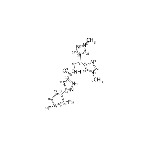 Cn1cnc(C(CNC(=O)c2nnc(-c3ccc(F)cc3F)s2)c2cnn(C)c2)c1